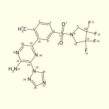 Cc1ccc(S(=O)(=O)N2CC(F)(F)C(F)(F)C2)cc1-c1cnc(N)c(-n2cncn2)n1